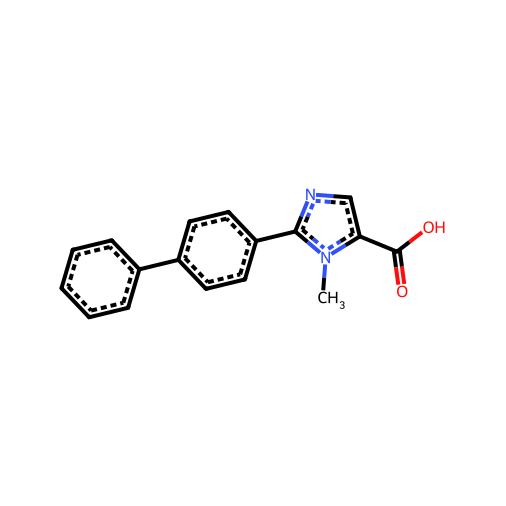 Cn1c(C(=O)O)cnc1-c1ccc(-c2ccccc2)cc1